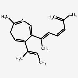 C=C(C)/C=C\C=C(/C)C1=CN=C(C)CC=C1C(C)=CC